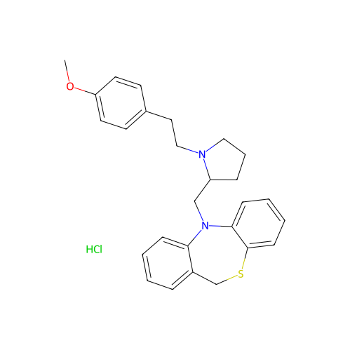 COc1ccc(CCN2CCCC2CN2c3ccccc3CSc3ccccc32)cc1.Cl